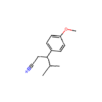 COc1ccc(C(CC#N)C(C)C)cc1